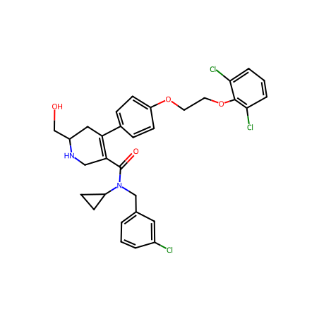 O=C(C1=C(c2ccc(OCCOc3c(Cl)cccc3Cl)cc2)CC(CO)NC1)N(Cc1cccc(Cl)c1)C1CC1